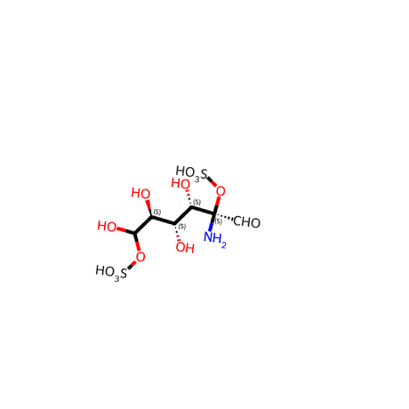 N[C@](C=O)(OS(=O)(=O)O)[C@@H](O)[C@H](O)[C@H](O)C(O)OS(=O)(=O)O